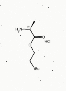 C[C@H](N)C(=O)OCCC(C)(C)C.Cl